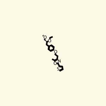 CCO[C@H](COC)Cc1ccc(OCCc2nc(-c3cccs3)oc2C)cc1